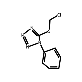 ClCSc1nnnn1-c1ccccc1